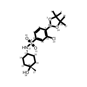 CC1(C)OB(c2ccc(S(=O)(=O)N[C@H]3CC[C@@](C)(O)CC3)cc2Cl)OC1(C)C